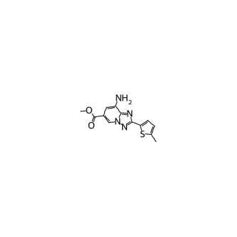 COC(=O)c1cc(N)c2nc(-c3ccc(C)s3)nn2c1